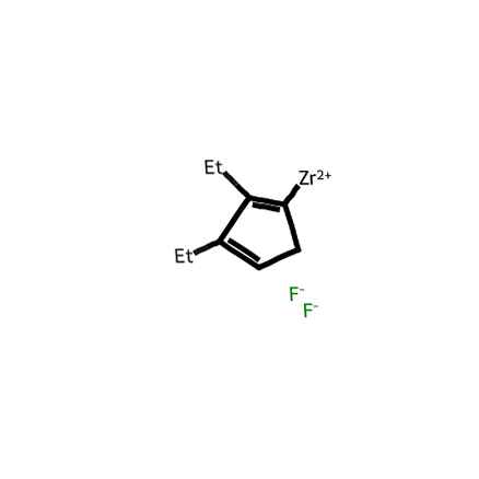 CCC1=CC[C]([Zr+2])=C1CC.[F-].[F-]